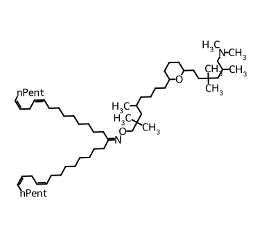 CCCCC/C=C\C/C=C\CCCCCCCCC(CCCCCCCC/C=C\C/C=C\CCCCC)=NOCC(C)(C)CC(C)CCCCC1CCCC(CCC(C)(C)CC(C)CN(C)C)O1